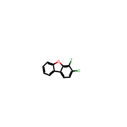 Fc1c(Cl)ccc2c1oc1ccccc12